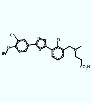 [C-]#[N+]c1cc(-c2ncc(-c3cccc(CN(C)CCC(=O)O)c3CC)s2)ccc1OC(C)C